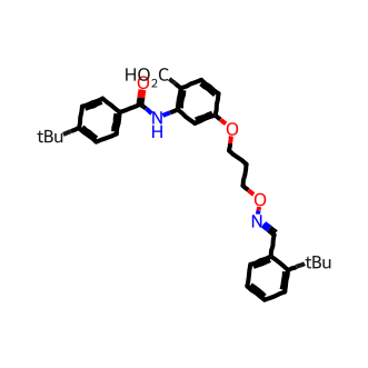 CC(C)(C)c1ccc(C(=O)Nc2cc(OCCCON=Cc3ccccc3C(C)(C)C)ccc2C(=O)O)cc1